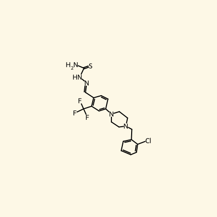 NC(=S)N/N=C/c1ccc(N2CCN(Cc3ccccc3Cl)CC2)cc1C(F)(F)F